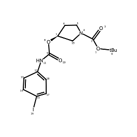 CC(C)(C)OC(=O)N1CC[C@H](OC(=O)Nc2ccc(I)cc2)C1